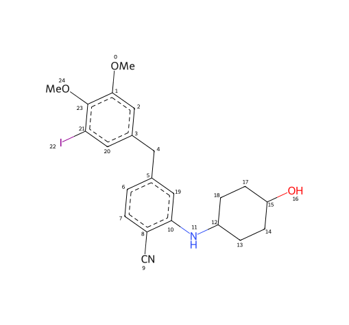 COc1cc(Cc2ccc(C#N)c(NC3CCC(O)CC3)c2)cc(I)c1OC